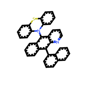 c1ccc2c(c1)Sc1ccccc1N2c1c2ccccc2c(-c2cccc3ccccc23)c2ncccc12